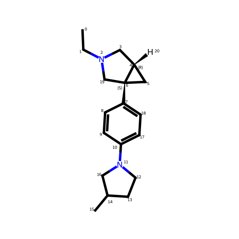 CCN1C[C@@H]2C[C@]2(c2ccc(N3CCC(C)C3)cc2)C1